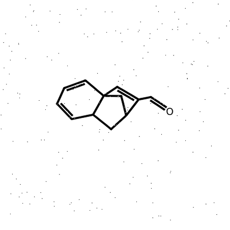 O=CC1=CC23C=CC=CC2CC1C3